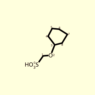 O=S(=O)(O)CO[C]1CCCCC1